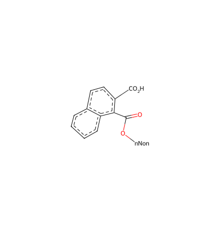 CCCCCCCCCOC(=O)c1c(C(=O)O)ccc2ccccc12